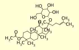 CC(=O)O[C@H]1CC[C@@]2(C)C(CC[C@]3(C)C2CC(=O)C2C(C(C)(CCC=C(C)C)O[C@@H]4OC(CO)[C@@H](O)C(O)C4O)CC[C@]23C)C1(C)C